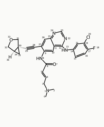 CN(C)CC=CC(=O)Nc1cc2c(Nc3ccc(F)c(Cl)c3)ncnc2cc1C#C[C@@]12COC[C@@H]1C2